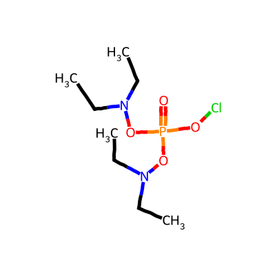 CCN(CC)OP(=O)(OCl)ON(CC)CC